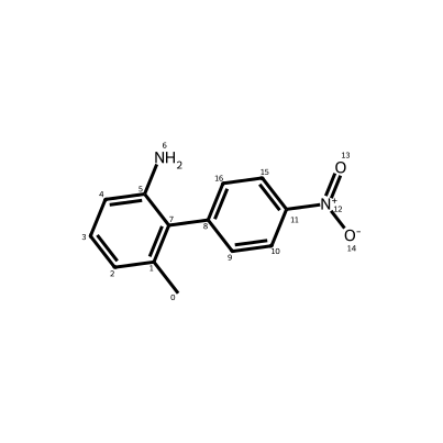 Cc1cccc(N)c1-c1ccc([N+](=O)[O-])cc1